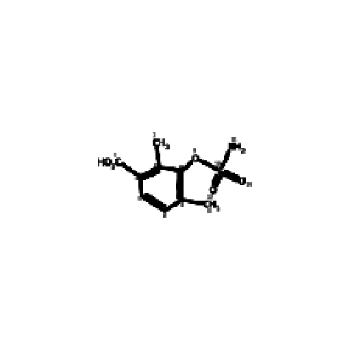 Cc1ccc(C(=O)O)c(C)c1OS(N)(=O)=O